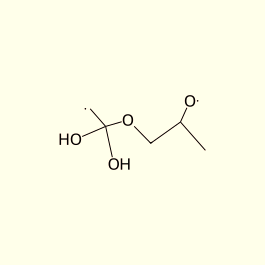 [CH2]C(O)(O)OCC(C)[O]